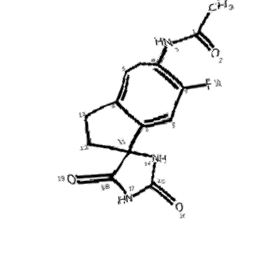 CC(=O)Nc1cc2c(cc1F)C1(CC2)NC(=O)NC1=O